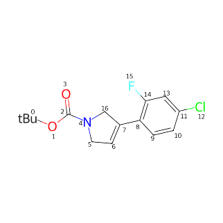 CC(C)(C)OC(=O)N1CC=C(c2ccc(Cl)cc2F)C1